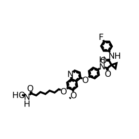 COc1cc2c(Oc3ccc(NC(=O)C4(C(=O)Nc5ccc(F)cc5)CC4)cc3)ccnc2cc1OCCCCCCC(=O)NO